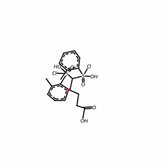 Cc1ccccc1S(=O)(O)(Cl)C(CCCC(=O)O)S(=O)(O)(Cl)c1ccccc1C